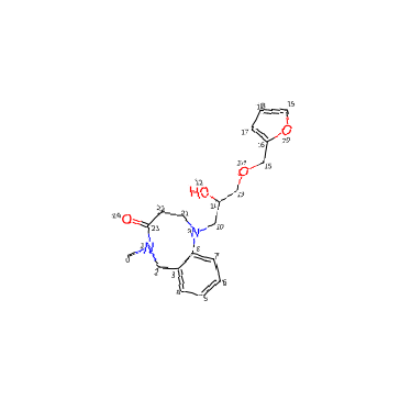 CN1Cc2ccccc2N(CC(O)COCc2ccco2)CCC1=O